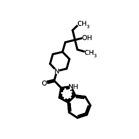 CCC(O)(CC)CC1CCN(C(=O)c2cc3c([nH]2)=CC=C=CC=3)CC1